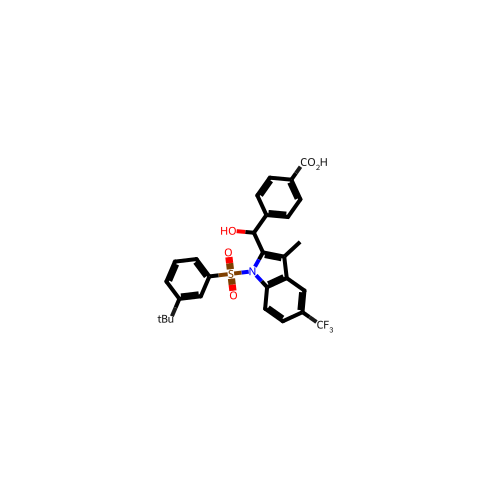 Cc1c(C(O)c2ccc(C(=O)O)cc2)n(S(=O)(=O)c2cccc(C(C)(C)C)c2)c2ccc(C(F)(F)F)cc12